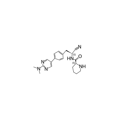 CN(C)c1ncc(-c2ccc(C[C@@H](C#N)NC(=O)[C@@H]3CCCCN3)cc2)cn1